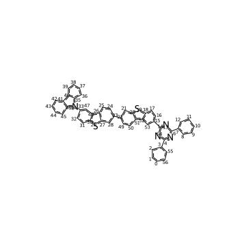 c1ccc(-c2nc(-c3ccccc3)nc(-c3ccc4sc5cc(-c6ccc7c(c6)sc6ccc(-n8c9ccccc9c9ccccc98)cc67)ccc5c4c3)n2)cc1